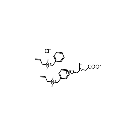 C=CC[N+](C)(C)Cc1ccccc1.C=CC[N+](C)(C)Cc1ccccc1.O=C([O-])CNCO.[Cl-]